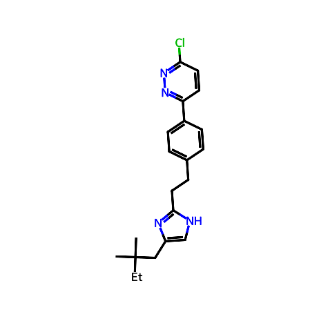 CCC(C)(C)Cc1c[nH]c(CCc2ccc(-c3ccc(Cl)nn3)cc2)n1